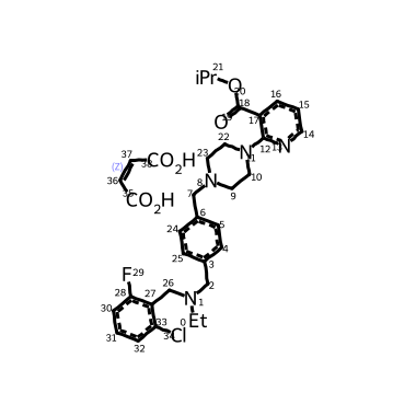 CCN(Cc1ccc(CN2CCN(c3ncccc3C(=O)OC(C)C)CC2)cc1)Cc1c(F)cccc1Cl.O=C(O)/C=C\C(=O)O